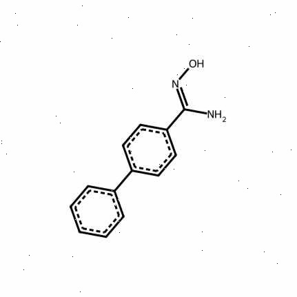 N/C(=N\O)c1ccc(-c2ccccc2)cc1